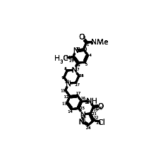 CNC(=O)c1ccc(N2CCN(Cc3ccc4c(c3)[nH]c(=O)c3c(Cl)cnn34)CC2)c(C)n1